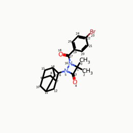 CC1(C)C(=O)N(C2C3CC4CC(C3)CC2C4)N1C(=O)c1ccc(Br)cc1